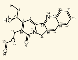 CC[C@H](O)c1cc2n(c(=O)c1COC=O)Cc1cc3ccccc3nc1-2